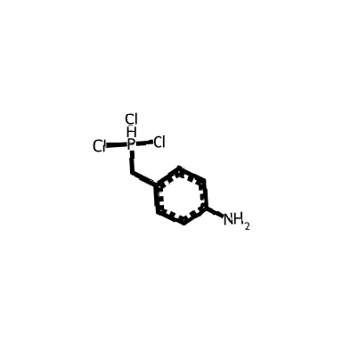 Nc1ccc(C[PH](Cl)(Cl)Cl)cc1